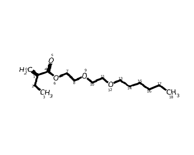 C=C(CC)C(=O)OCCOCCOCCCCCC